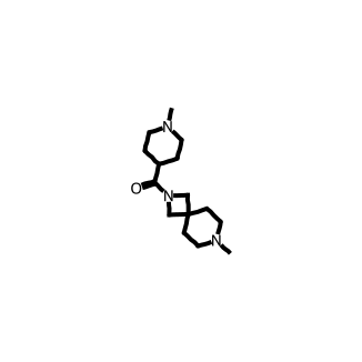 CN1CCC(C(=O)N2CC3(CCN(C)CC3)C2)CC1